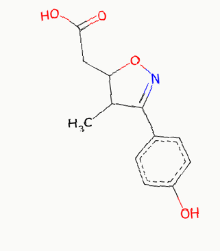 CC1C(c2ccc(O)cc2)=NOC1CC(=O)O